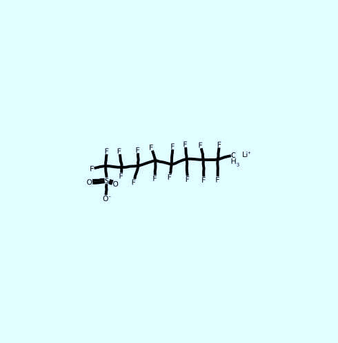 CC(F)(F)C(F)(F)C(F)(F)C(F)(F)C(F)(F)C(F)(F)C(F)(F)C(F)(F)S(=O)(=O)[O-].[Li+]